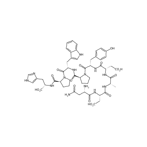 C[C@H](NC(=O)[C@H](CC(=O)O)NC(=O)[C@@H](N)CC(N)=O)C(=O)N[C@@H](CC(=O)O)C(=O)N[C@@H](Cc1ccc(O)cc1)C(=O)N1CCC[C@H]1C(=O)N[C@@H](Cc1c[nH]c2ccccc12)C(=O)N1CCC[C@H]1C(=O)N[C@@H](Cc1c[nH]cn1)C(=O)O